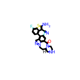 N#Cc1c(N)sc2c(F)ccc(-c3c(F)cc4c5c3cnn5CC[C@@H]3CNCCN3C4=O)c12